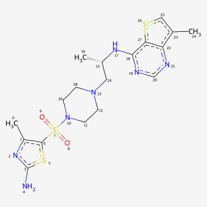 Cc1nc(N)sc1S(=O)(=O)N1CCN(C[C@H](C)Nc2ncnc3c(C)csc23)CC1